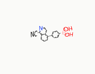 N#Cc1nccc2c(-c3ccc(B(O)O)cc3)cccc12